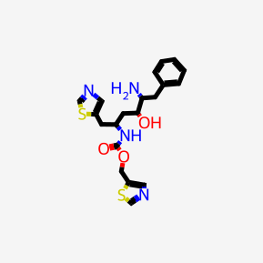 NC(Cc1ccccc1)C(O)CC(Cc1cncs1)NC(=O)OCc1cncs1